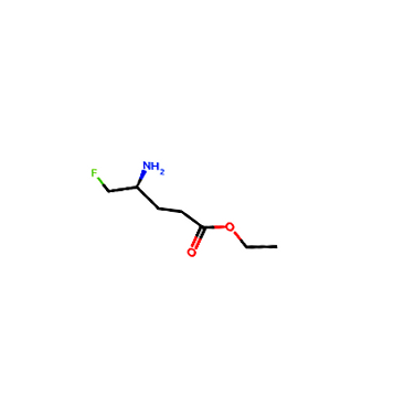 CCOC(=O)CC[C@H](N)CF